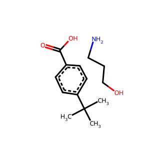 CC(C)(C)c1ccc(C(=O)O)cc1.NCCCO